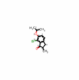 CC(C)Oc1ccc2c(c1Br)C(=O)C(C)C2